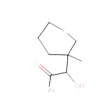 CC(C)C(=O)C(O)C1(C)CCCCC1